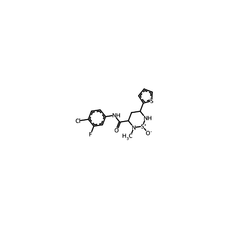 CN1C(C(=O)Nc2ccc(Cl)c(F)c2)CC(c2cccs2)N[S+]1[O-]